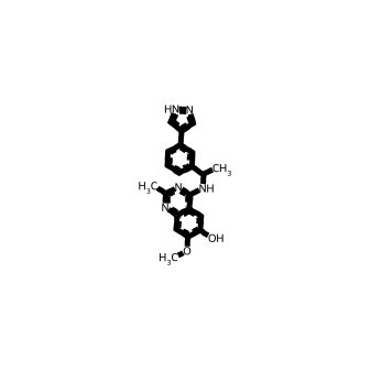 COc1cc2nc(C)nc(NC(C)c3cccc(-c4cn[nH]c4)c3)c2cc1O